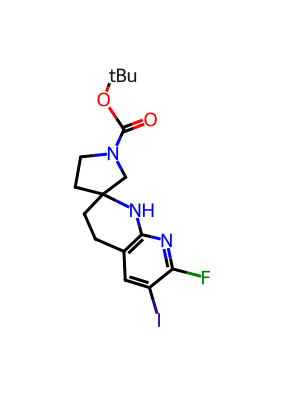 CC(C)(C)OC(=O)N1CCC2(CCc3cc(I)c(F)nc3N2)C1